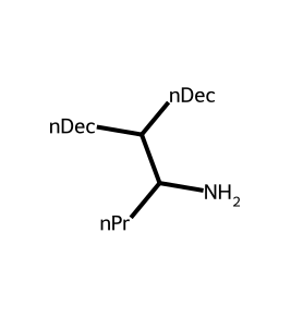 CCCCCCCCCCC(CCCCCCCCCC)C(N)CCC